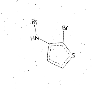 BrNc1ccsc1Br